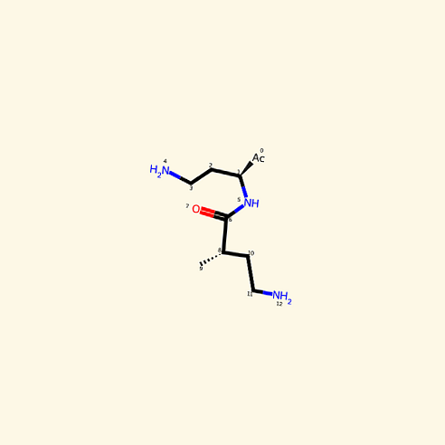 CC(=O)[C@H](CCN)NC(=O)[C@@H](C)CCN